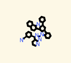 N#Cc1cccc(-c2nc(-n3c4ccccc4c4cc5c6ccccc6n6c7c8ccccc8ccc7c(c43)c56)nc3ncccc23)c1